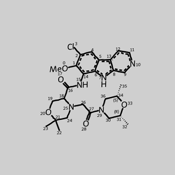 COc1c(Cl)cc2c([nH]c3cnccc32)c1NC(=O)C1COC(C)(C)CN1CC(=O)N1C[C@@H](C)O[C@@H](C)C1